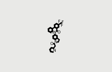 O=C(Nc1ccc2c(c1)CCN2C(=O)Cc1ccccn1)c1cc(C(F)(F)F)ccc1-c1ccccc1